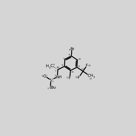 C[C@@H](N[S+]([O-])C(C)(C)C)c1cc(Br)cc(C(C)(F)F)c1F